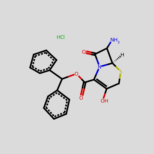 Cl.NC1C(=O)N2C(C(=O)OC(c3ccccc3)c3ccccc3)=C(O)CS[C@H]12